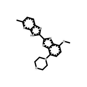 COc1ccc(N2CCOCC2)c2sc(-c3nc4ccc(C)nc4[nH]3)nc12